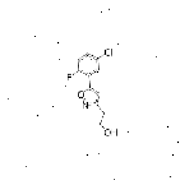 OCCc1cc(-c2cc(Cl)ccc2F)on1